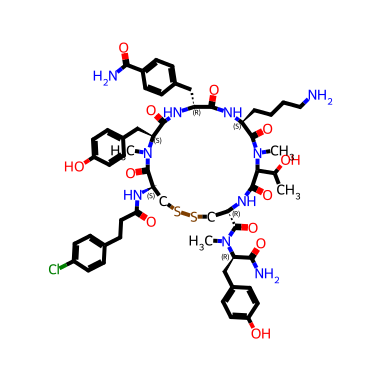 CC(O)C1C(=O)N[C@H](C(=O)N(C)[C@H](Cc2ccc(O)cc2)C(N)=O)CSSC[C@@H](NC(=O)CCc2ccc(Cl)cc2)C(=O)N(C)[C@@H](Cc2ccc(O)cc2)C(=O)N[C@H](Cc2ccc(C(N)=O)cc2)C(=O)N[C@@H](CCCCN)C(=O)N1C